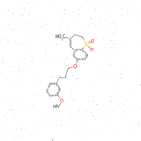 CCCOc1cccc(CCCOc2ccc3c(c2)C=C(C(=O)O)CCS3(=O)=O)c1